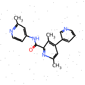 Cc1cc(NC(=O)c2nc(C)cc(-c3cccnc3)c2C)ccn1